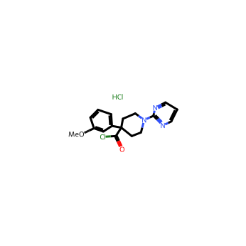 COc1cccc(C2(C(=O)Cl)CCN(c3ncccn3)CC2)c1.Cl